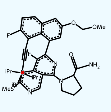 COCOc1cc(-c2nc(N3CCCC3C(N)=O)c3cnc(SC)nc3c2F)c2c(C#C[Si](C(C)C)(C(C)C)C(C)C)c(F)ccc2c1